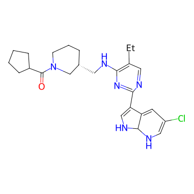 CCc1cnc(C2=CNC3NC=C(Cl)C=C23)nc1NC[C@H]1CCCN(C(=O)C2CCCC2)C1